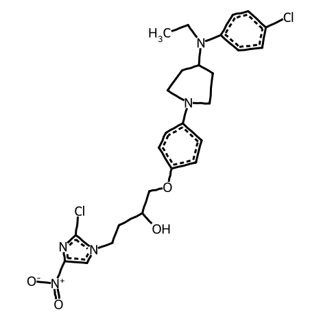 CCN(c1ccc(Cl)cc1)C1CCN(c2ccc(OCC(O)CCn3cc([N+](=O)[O-])nc3Cl)cc2)CC1